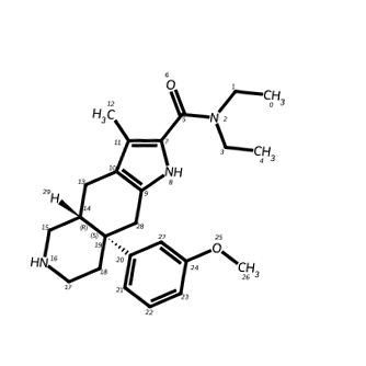 CCN(CC)C(=O)c1[nH]c2c(c1C)C[C@H]1CNCC[C@]1(c1cccc(OC)c1)C2